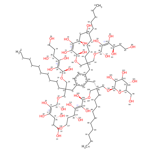 CCCCCCCCCCC(CO[C@H](O)/C(O)=C(/O)[C@H](O)CCO)(CO[C@H](O)/C(O)=C(\O)[C@H](O)CCO)Cc1ccc(CC(CCCCCCCCCC)(CO[C@@H](O)/C(O)=C(/O)[C@H](O)CCO)CO[C@H](O)/C(O)=C(/O)[C@H](O)CCO)c(C[C@@](CCCCCCCCCC)(CO[C@@H]2OC(CO)[C@@H](O)C(O)C2O)CO[C@H](O)/C(O)=C(\O)[C@H](O)CCO)c1